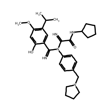 COc1cc(O)c(C(=N)N(C(=N)C(=O)NC2CCCC2)c2ccc(CN3CCCC3)cc2)cc1C(C)C